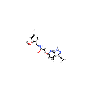 COc1ccc(CNC(=O)COc2cc(C)c3c(C4CC4)nn(C)c3n2)c(OC)c1